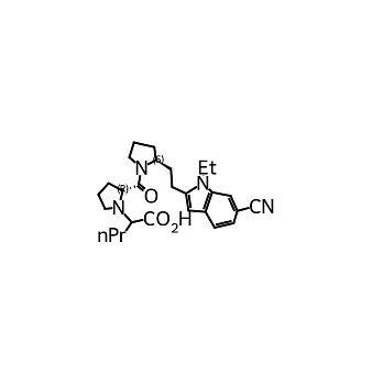 CCCC(C(=O)O)N1CCC[C@@H]1C(=O)N1CCC[C@H]1CCc1cc2ccc(C#N)cc2n1CC